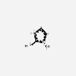 Cc1ncc[nH]1.[Co]